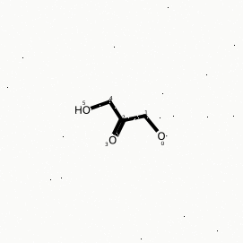 [O]CC(=O)CO